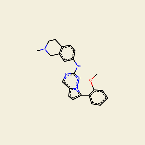 COc1ccccc1-c1ccc2cnc(Nc3ccc4c(c3)CN(C)CC4)nn12